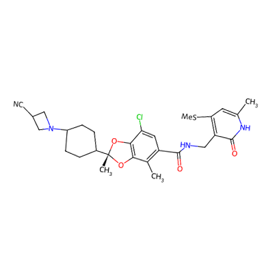 CSc1cc(C)[nH]c(=O)c1CNC(=O)c1cc(Cl)c2c(c1C)O[C@](C)(C1CCC(N3CC(C#N)C3)CC1)O2